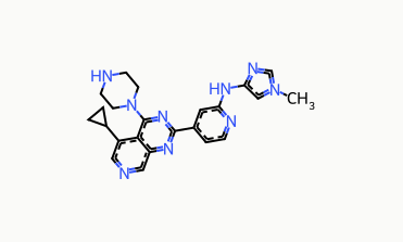 Cn1cnc(Nc2cc(-c3nc(N4CCNCC4)c4c(C5CC5)cncc4n3)ccn2)c1